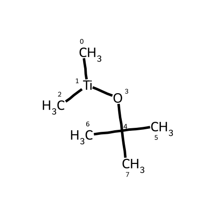 [CH3][Ti]([CH3])[O]C(C)(C)C